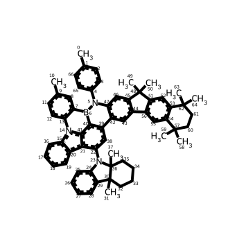 Cc1ccc(N2B3c4cc(C)ccc4-n4c5ccccc5c5c(N6c7ccccc7C7(C)CCCCC67C)cc(c3c54)-c3cc4c(cc32)C(C)(C)c2cc3c(cc2-4)C(C)(C)CCC3(C)C)cc1